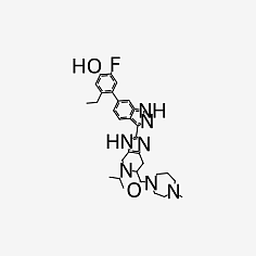 CCc1cc(O)c(F)cc1-c1ccc2c(-c3nc4c([nH]3)CN(C(C)C)C(C(=O)N3CCCN(C)CC3)C4)n[nH]c2c1